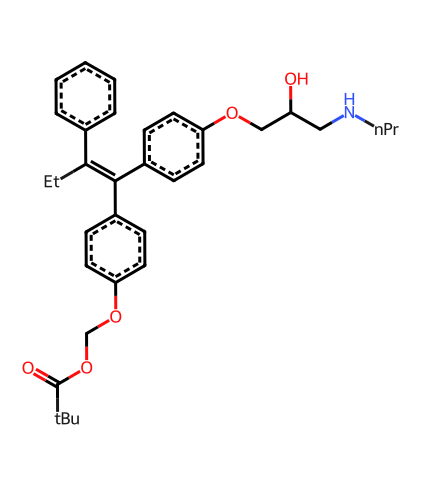 CCCNCC(O)COc1ccc(C(=C(CC)c2ccccc2)c2ccc(OCOC(=O)C(C)(C)C)cc2)cc1